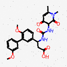 COc1cccc(-c2cc(C(CC(=O)O)NC(=O)NC3C(=O)C=C(C)N(C)C3=O)ccc2OC)c1